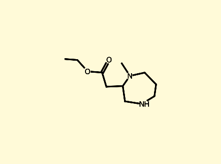 CCOC(=O)CC1CNCCCN1C